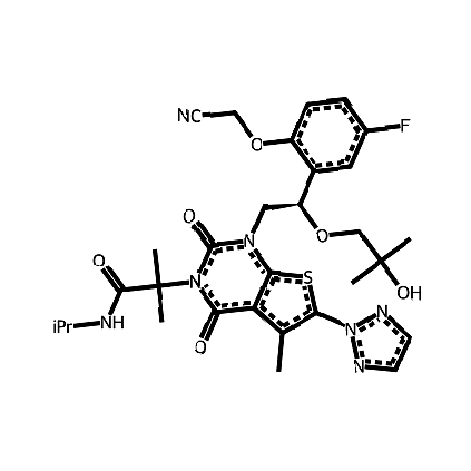 Cc1c(-n2nccn2)sc2c1c(=O)n(C(C)(C)C(=O)NC(C)C)c(=O)n2C[C@H](OCC(C)(C)O)c1cc(F)ccc1OCC#N